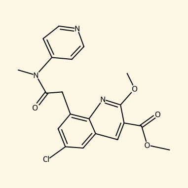 COC(=O)c1cc2cc(Cl)cc(CC(=O)N(C)c3ccncc3)c2nc1OC